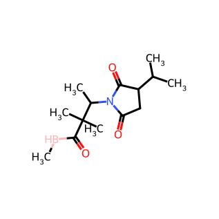 CBC(=O)C(C)(C)C(C)N1C(=O)CC(C(C)C)C1=O